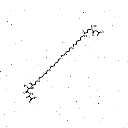 CC(C)C(=O)C(C)NC(=O)C(NC(=O)CCOCCOCCOCCOCCOCCOCCOCCOCCNC(=O)CCN(C=O)C(=O)CC(C)C(C)C)C(C)C